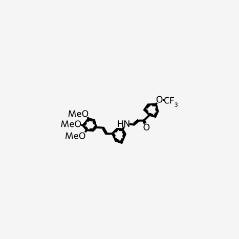 COc1cc(C=Cc2cccc(NC=CC(=O)c3ccc(OC(F)(F)F)cc3)c2)cc(OC)c1OC